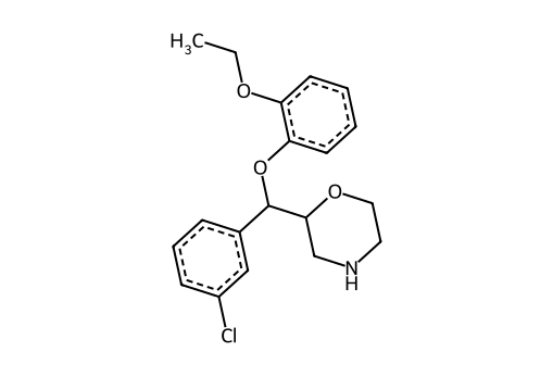 CCOc1ccccc1OC(c1cccc(Cl)c1)C1CNCCO1